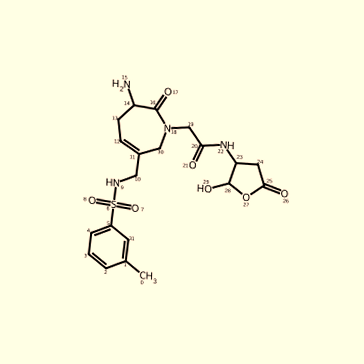 Cc1cccc(S(=O)(=O)NCC2=CCC(N)C(=O)N(CC(=O)NC3CC(=O)OC3O)C2)c1